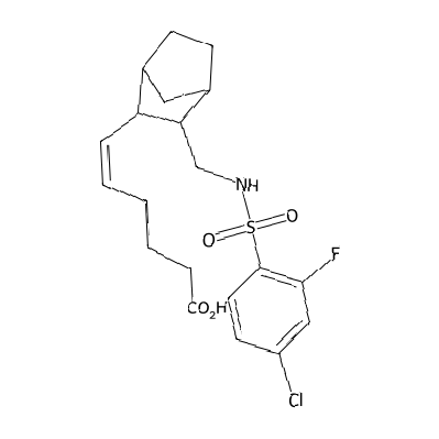 O=C(O)CCC/C=C\C1C2CCC(C2)C1CNS(=O)(=O)c1ccc(Cl)cc1F